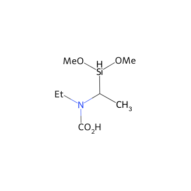 CCN(C(=O)O)C(C)[SiH](OC)OC